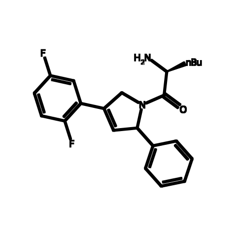 CCCC[C@H](N)C(=O)N1CC(c2cc(F)ccc2F)=CC1c1ccccc1